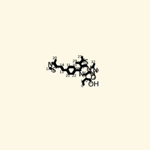 CCC(C(=O)O)[C@@H]1N=C(c2ccc(C=Cc3scnc3C)cc2)c2c(sc(C)c2C)-n2c(C)nnc21